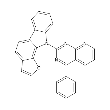 c1ccc(-c2nc(-n3c4ccccc4c4ccc5ccoc5c43)nc3ncccc23)cc1